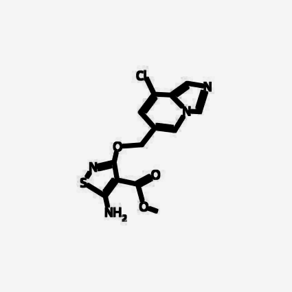 COC(=O)c1c(OCc2cc(Cl)c3cncn3c2)nsc1N